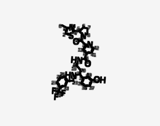 Cc1csc([C@H]2CCCN2C(=O)c2cc(C(=O)N[C@@H](C)CC(NCc3cccc(C(F)(F)F)c3)c3cccc(O)c3)ccn2)n1